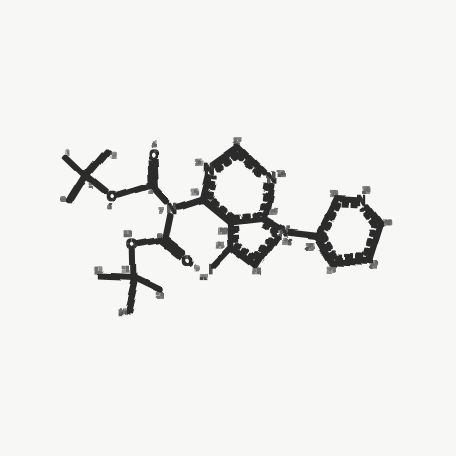 CC(C)(C)OC(=O)N(C(=O)OC(C)(C)C)c1ncnc2c1c(I)cn2-c1cccnc1